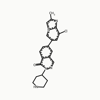 Cc1cn2cc(-c3ccc4c(=O)n(C5CCNCC5)ncc4c3)cc(Cl)c2n1